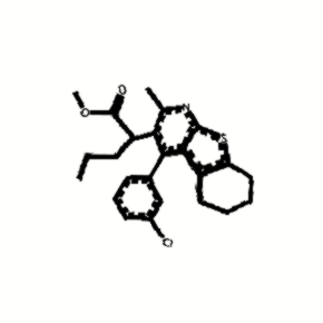 CCCC(C(=O)OC)c1c(C)nc2sc3c(c2c1-c1cccc(Cl)c1)CCCC3